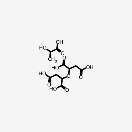 CC(O)C(=O)O.O=C(O)CC(OC(CC(=O)O)C(=O)O)C(=O)O